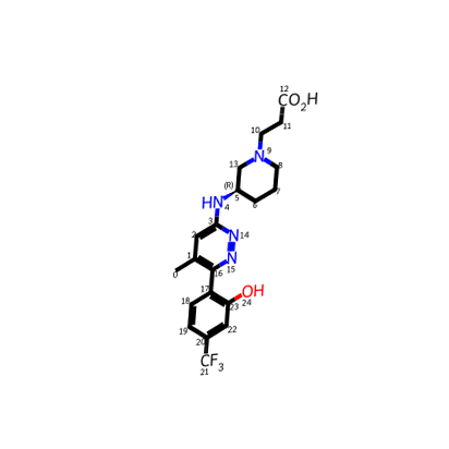 Cc1cc(N[C@@H]2CCCN(CCC(=O)O)C2)nnc1-c1ccc(C(F)(F)F)cc1O